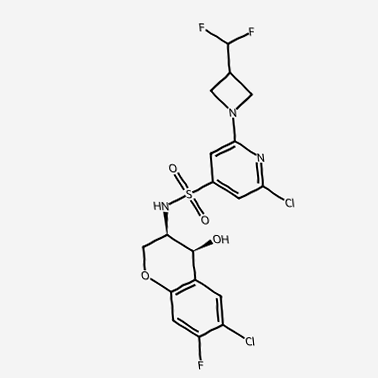 O=S(=O)(N[C@@H]1COc2cc(F)c(Cl)cc2[C@@H]1O)c1cc(Cl)nc(N2CC(C(F)F)C2)c1